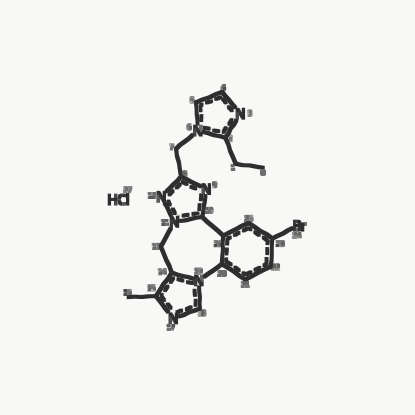 CCc1nccn1Cc1nc2n(n1)Cc1c(C)ncn1-c1ccc(Br)cc1-2.Cl